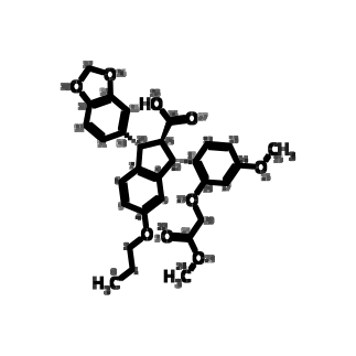 CCCOc1ccc2c(c1)[C@@H](c1ccc(OC)cc1OCC(=O)OC)[C@H](C(=O)O)[C@H]2c1ccc2c(c1)OCO2